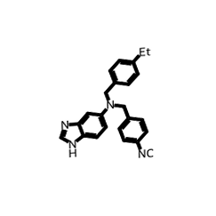 [C-]#[N+]c1ccc(CN(Cc2ccc(CC)cc2)c2ccc3[nH]cnc3c2)cc1